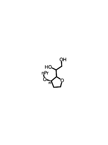 CCCO[C@@H]1CCOC1C(O)CO